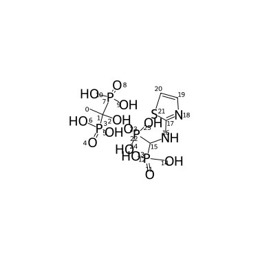 CC(O)(P(=O)(O)O)P(=O)(O)O.O=P(O)(O)C(Nc1nccs1)P(=O)(O)O